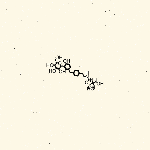 O=C(NCCc1ccc(Cc2ccc(O)c([C@@H]3O[C@H](CO)[C@@H](O)[C@H](O)[C@H]3O)c2)cc1)NC(CO)(CO)CO